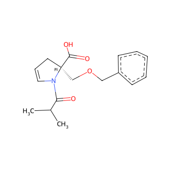 CC(C)C(=O)N1C=CC[C@@]1(COCc1ccccc1)C(=O)O